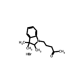 Br.CC(=O)CCCN1c2ccccc2C(C)(C)C1C